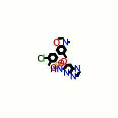 Cc1c(Cl)cccc1S(=O)(=O)Nc1nc2nccnc2cc1OCc1ccc2c(c1)N(C)CCO2